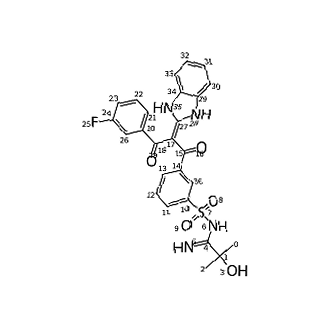 CC(C)(O)C(=N)NS(=O)(=O)c1cccc(C(=O)C(C(=O)c2cccc(F)c2)=C2Nc3ccccc3N2)c1